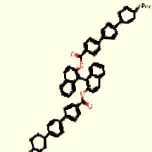 CCCCCC1CCC(c2ccc(-c3ccc(C(=O)Oc4ccc5ccccc5c4-c4c(OC(=O)c5ccc(-c6ccc(C7CCC(CCCCC)CC7)cc6)cc5)ccc5ccccc45)cc3)cc2)CC1